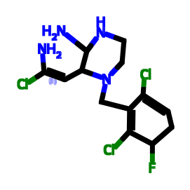 N/C(Cl)=C\C1C(N)NCCN1CC1=C(Cl)C(F)CC=C1Cl